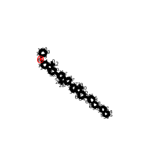 CC1(C)c2cc(Oc3ccccc3)ccc2-c2ccc(-c3ccc4c(c3)C(C)(C)c3cc(-c5ccc6c(c5)C(C)(C)c5cc(-c7ccc8cc(-c9ccc%10ccccc%10c9)ccc8c7)ccc5-6)ccc3-4)cc21